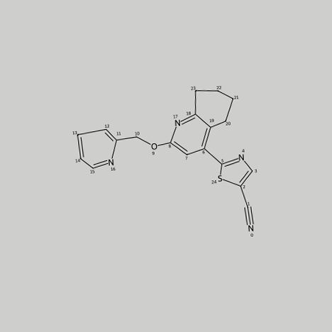 N#Cc1cnc(-c2cc(OCc3ccccn3)nc3c2CCCC3)s1